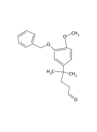 COc1ccc(C(C)(C)CCC=O)cc1OCc1ccccc1